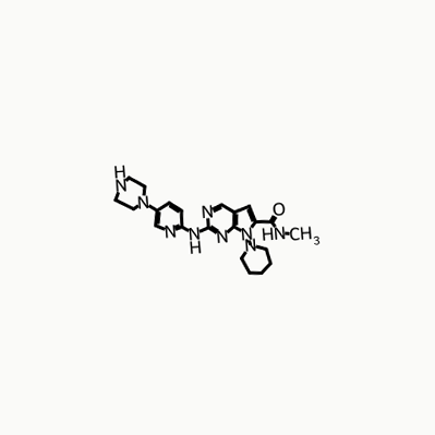 CNC(=O)c1cc2cnc(Nc3ccc(N4CCNCC4)cn3)nc2n1N1CCCCC1